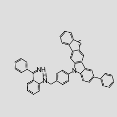 N=C(c1ccccc1)c1ccccc1NCc1ccc(-n2c3ccc(-c4ccccc4)cc3c3cc4sc5ccccc5c4cc32)cc1